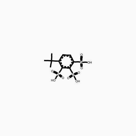 CC(C)(C)c1ccc(S(=O)(=O)O)c(S(=O)(=O)O)c1S(=O)(=O)O